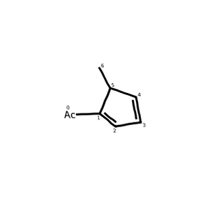 CC(=O)C1=CC=CC1C